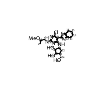 CO[C@H](C)CNc1nc(Cl)c(-c2nc3ccccc3s2)c(N[C@@H]2C[C@H](CO)[C@@H](O)[C@H]2O)n1